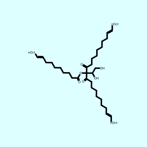 CCCCCCCCC=CCCCCCCCC(=O)OC(C(=O)CCCCCCCC=CCCCCCCCC)(C(=O)CCCCCCCC=CCCCCCCCC)C(O)CO